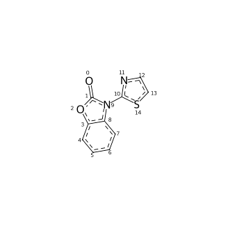 O=c1oc2ccccc2n1-c1nccs1